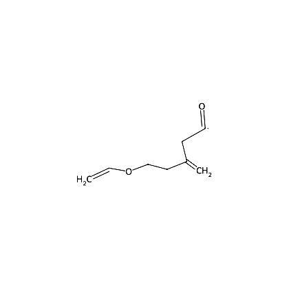 C=COCCC(=C)C[C]=O